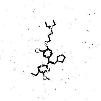 CCc1ccc(C(=CC2CCCC2)c2ccc(SCCCN(CC)CC)c(Cl)c2)nc1OC